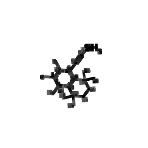 Cc1c(C)c(C#C[SiH3])c2c(c1C)C(C)(C)CCC2(C)C